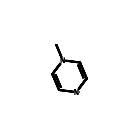 CN1C=C[N]C=C1